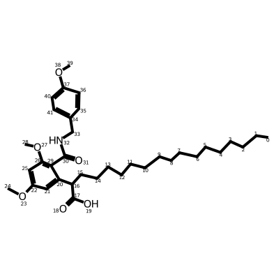 CCCCCCCCCCCCCCCCC(C(=O)O)c1cc(OC)cc(OC)c1C(=O)NCc1ccc(OC)cc1